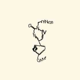 CCCCCCCCCCn1ncc(-c2ccc(OC)cc2)nc1=O